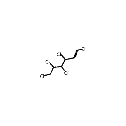 ClC=CC(Cl)C(Cl)C(Cl)CCl